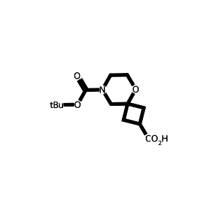 CC(C)(C)OC(=O)N1CCOC2(CC(C(=O)O)C2)C1